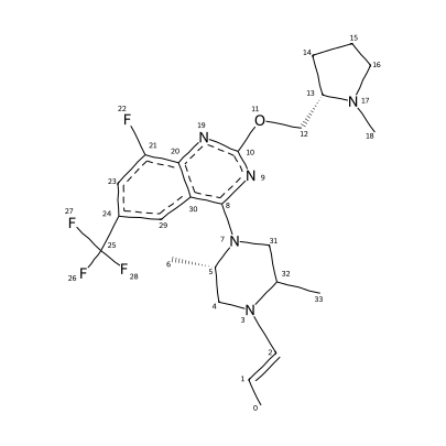 CC=CN1C[C@H](C)N(c2nc(OC[C@@H]3CCCN3C)nc3c(F)cc(C(F)(F)F)cc23)CC1C